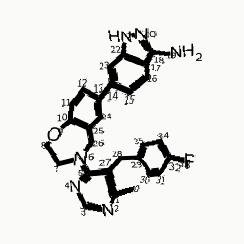 Cc1ncnc(N2CCOc3ccc(-c4ccc5c(N)n[nH]c5c4)cc3C2)c1Cc1ccc(F)cc1